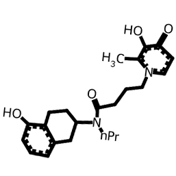 CCCN(C(=O)CCCn1ccc(=O)c(O)c1C)C1CCc2c(O)cccc2C1